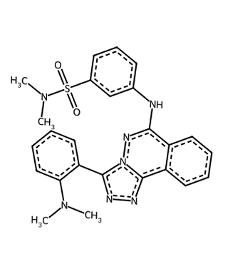 CN(C)c1ccccc1-c1nnc2c3ccccc3c(Nc3cccc(S(=O)(=O)N(C)C)c3)nn12